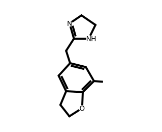 Cc1cc(CC2=NCCN2)cc2c1OCC2